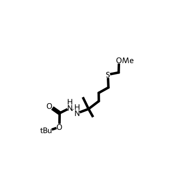 COCSCCCC(C)(C)NNC(=O)OC(C)(C)C